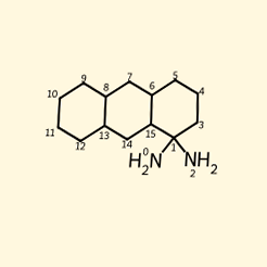 NC1(N)CCCC2CC3CCCCC3CC21